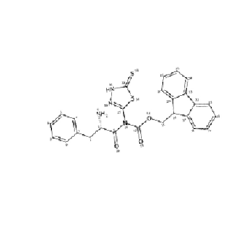 N[C@@H](Cc1ccccc1)C(=O)N(C(=O)OCC1c2ccccc2-c2ccccc21)c1n[nH]c(=S)s1